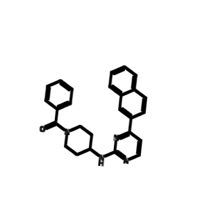 O=C(c1ccccc1)N1CCC(Nc2nccc(-c3ccc4ccccc4c3)n2)CC1